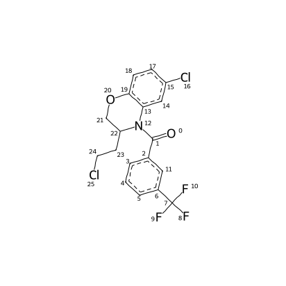 O=C(c1cccc(C(F)(F)F)c1)N1c2cc(Cl)ccc2OCC1CCCl